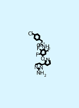 Nc1nccc(-c2cccnc2Oc2cc(F)c(N[S+]([O-])Cc3ccc(Cl)cc3)c(F)c2F)n1